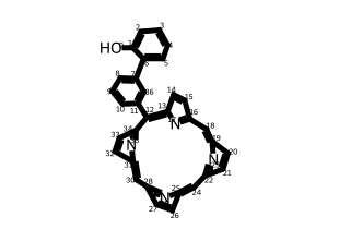 Oc1ccccc1-c1cccc(C2=C3C=CC(=N3)C=C3C=CC(=N3)C=C3C=CC(=N3)C=C3C=CC2=N3)c1